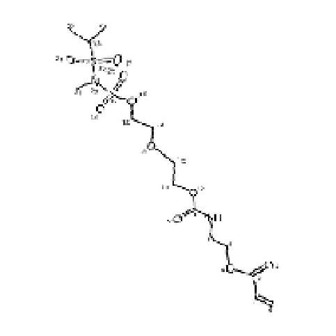 C=CC(=O)OCCNC(=O)OCCOCCOS(=O)(=O)N(C)S(=O)(=O)C(C)C